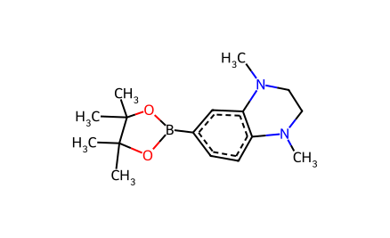 CN1CCN(C)c2cc(B3OC(C)(C)C(C)(C)O3)ccc21